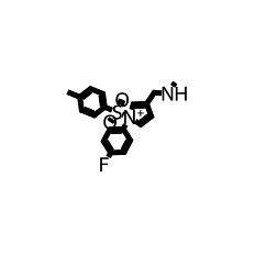 CNCC1=C[N+](c2ccc(F)cc2)(S(=O)(=O)c2ccc(C)cc2)C=C1